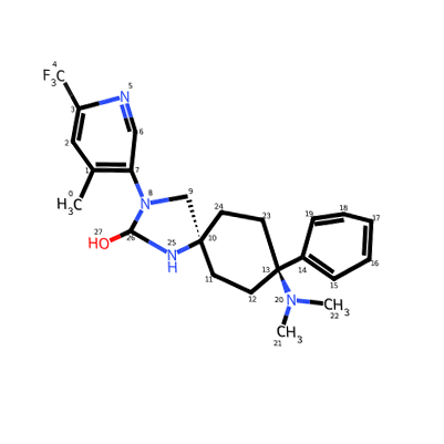 Cc1cc(C(F)(F)F)ncc1N1C[C@]2(CC[C@](c3ccccc3)(N(C)C)CC2)NC1O